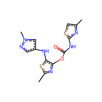 Cc1csc(NC(=O)Oc2nc(C)sc2Nc2cnn(C)c2)n1